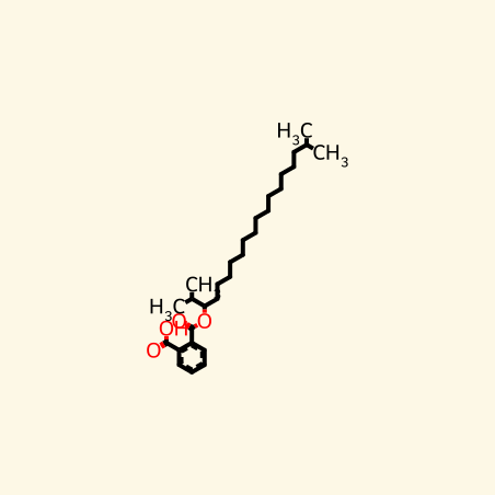 CC(C)CCCCCCCCCCCCCCC(OC(=O)c1ccccc1C(=O)O)C(C)C